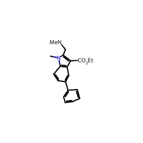 CCOC(=O)c1c(CNC)n(C)c2ccc(-c3ccccc3)cc12